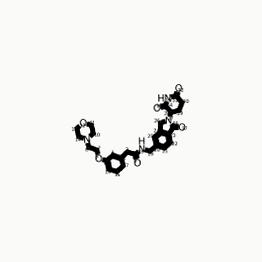 O=C(CC1=CC(OCCN2CCOCC2)=CCC1)NCc1ccc2c(c1)CN(C1CCC(=O)NC1=O)C2=O